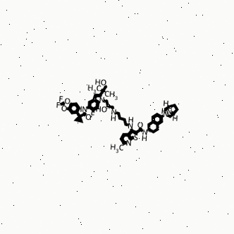 Cc1ccc2c(NCCCCNC[C@H](O)Cn3c(C(C)(C)CO)cc4cc(NC(=O)C5(c6ccc7c(c6)OC(F)(F)O7)CC5)c(F)cc43)c(C(=O)N[C@H]3CCc4cc(N5C[C@H]6CC[C@@H](C5)N6)ccc4C3)sc2n1